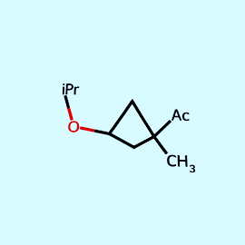 CC(=O)C1(C)CC(OC(C)C)C1